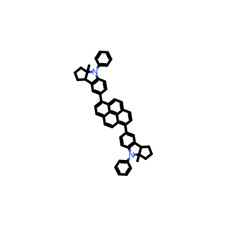 CC12CCCC1c1cc(-c3ccc4ccc5c(-c6ccc7c(c6)C6CCCC6(C)N7c6ccccc6)ccc6ccc3c4c65)ccc1N2c1ccccc1